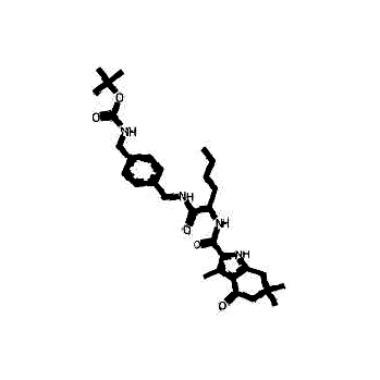 CCCCC(NC(=O)c1[nH]c2c(c1C)C(=O)CC(C)(C)C2)C(=O)NCc1ccc(CNC(=O)OC(C)(C)C)cc1